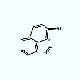 C=C.Sc1ccc2ccccc2c1